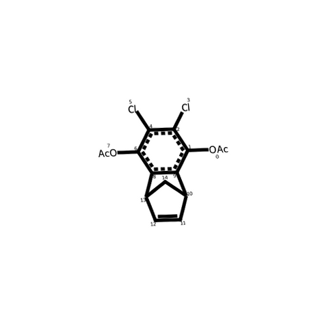 CC(=O)Oc1c(Cl)c(Cl)c(OC(C)=O)c2c1C1C=CC2C1